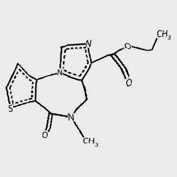 CCOC(=O)c1ncn2c1CN(C)C(=O)c1sccc1-2